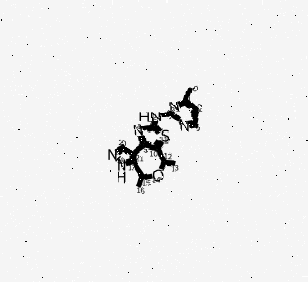 Cc1ccnc(Nc2nc3c(s2)C(C)OC(C)c2[nH]ncc2-3)n1